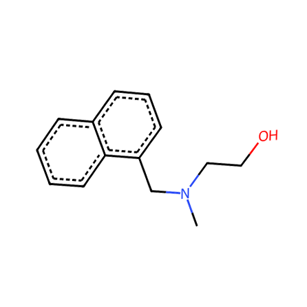 CN(CCO)Cc1cccc2ccccc12